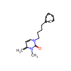 C=C1C=CN(CCCCc2ccccc2)C(=O)N1C